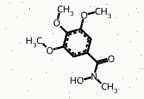 COc1cc(C(=O)N(C)O)cc(OC)c1OC